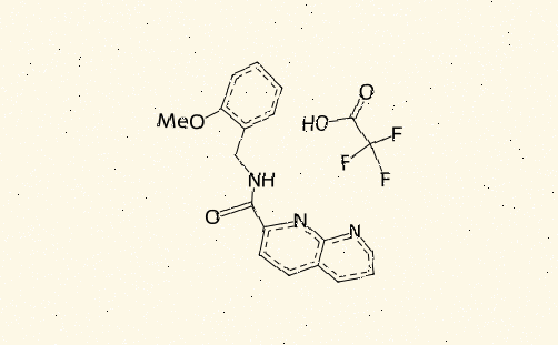 COc1ccccc1CNC(=O)c1ccc2cccnc2n1.O=C(O)C(F)(F)F